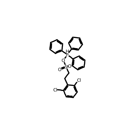 O=S(=O)(CCc1c(Cl)cccc1Cl)O[PH](c1ccccc1)(c1ccccc1)c1ccccc1